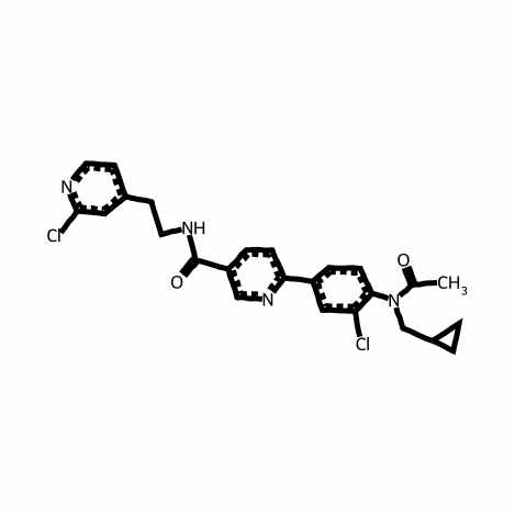 CC(=O)N(CC1CC1)c1ccc(-c2ccc(C(=O)NCCc3ccnc(Cl)c3)cn2)cc1Cl